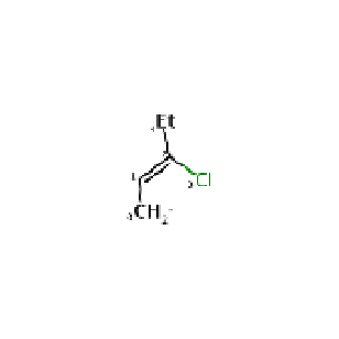 [CH2]C=C(Cl)CC